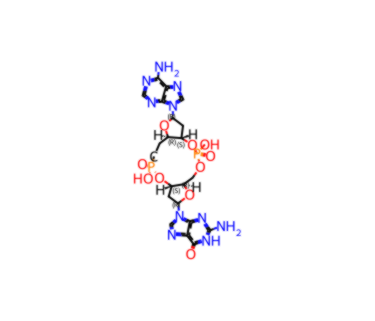 Nc1nc2c(ncn2[C@H]2C[C@@H]3OP(=O)(O)CC[C@H]4O[C@@H](n5cnc6c(N)ncnc65)C[C@@H]4OP(=O)(O)OC[C@H]3O2)c(=O)[nH]1